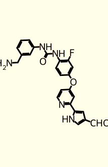 NCc1cccc(NC(=O)Nc2ccc(Oc3ccnc(-c4cc([C]=O)c[nH]4)c3)cc2F)c1